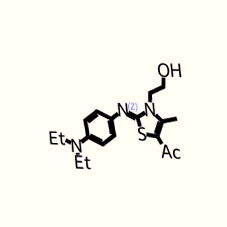 CCN(CC)c1ccc(/N=c2\sc(C(C)=O)c(C)n2CCO)cc1